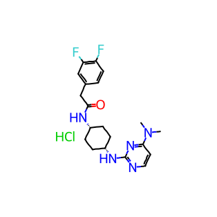 CN(C)c1ccnc(N[C@H]2CC[C@@H](NC(=O)Cc3ccc(F)c(F)c3)CC2)n1.Cl